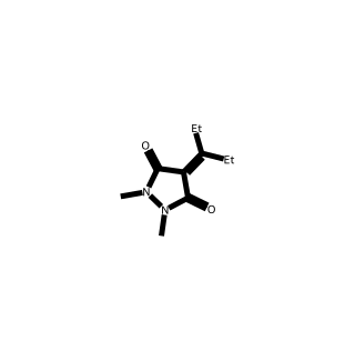 CCC(CC)=C1C(=O)N(C)N(C)C1=O